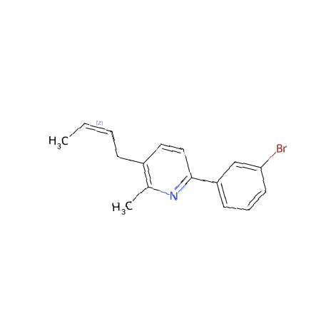 C/C=C\Cc1ccc(-c2cccc(Br)c2)nc1C